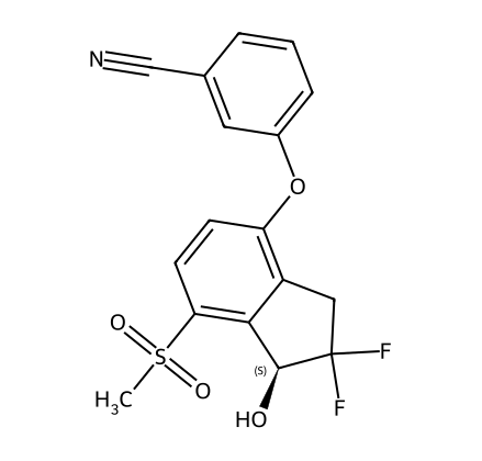 CS(=O)(=O)c1ccc(Oc2cccc(C#N)c2)c2c1[C@H](O)C(F)(F)C2